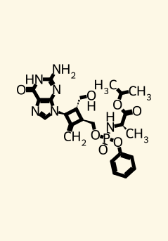 C=C1[C@@H](n2cnc3c(=O)[nH]c(N)nc32)[C@H](CO)[C@H]1COP(=O)(N[C@@H](C)C(=O)OC(C)C)Oc1ccccc1